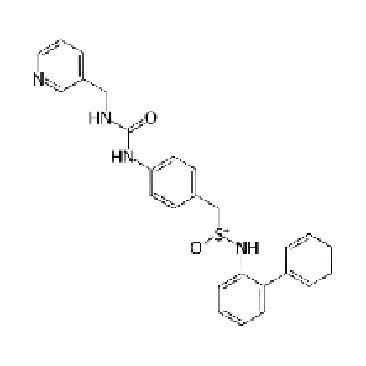 O=C(NCc1cccnc1)Nc1ccc(C[S+]([O-])Nc2ccccc2-c2ccccc2)cc1